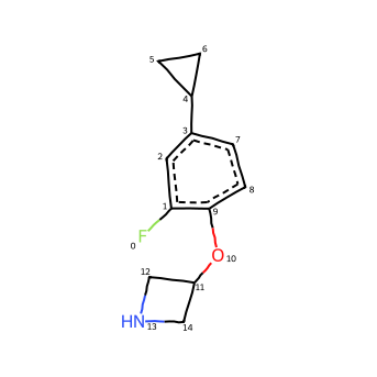 Fc1cc(C2CC2)ccc1OC1CNC1